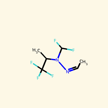 C/C=N\N(C(F)F)C(C)C(F)(F)F